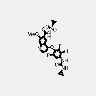 COc1cc2nccc(Oc3c(F)cc(NC(=O)NC4CC4)c(Cl)c3F)c2cc1C(=O)NS(=O)(=O)C1CC1